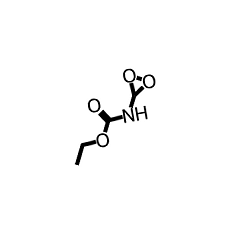 CCOC(=O)NC1OO1